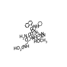 CC(C)(O)c1cnnn1[C@H]1C[C@@H](C(=O)NC(CCCCNC(=O)O)C(=O)C(N)=O)N(C(=O)[C@@H](CC2CCCCC2)NC(=O)c2cccc3ccccc23)C1